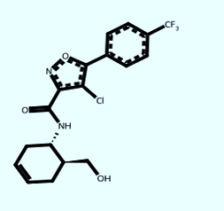 O=C(N[C@H]1CC=CC[C@@H]1CO)c1noc(-c2ccc(C(F)(F)F)cc2)c1Cl